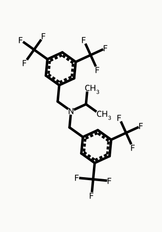 CC(C)N(Cc1cc(C(F)(F)F)cc(C(F)(F)F)c1)Cc1cc(C(F)(F)F)cc(C(F)(F)F)c1